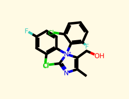 CC1=C(CO)[N+](c2ccc(F)cc2Cl)(c2c(F)cccc2Cl)C(Cl)=N1